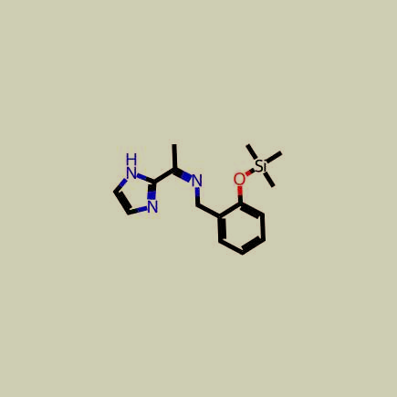 CC(=NCc1ccccc1O[Si](C)(C)C)c1ncc[nH]1